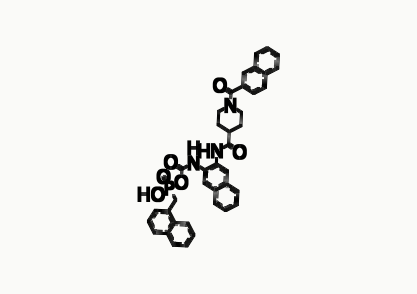 O=C(Nc1cc2ccccc2cc1NC(=O)C1CCN(C(=O)c2ccc3ccccc3c2)CC1)OP(=O)(O)Cc1cccc2ccccc12